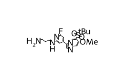 COc1cc2ncc(-c3cc(F)nc(NCCCN)c3)n2cc1S(=O)(=O)C(C)(C)C